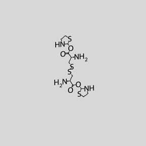 N[C@@H](CSSC[C@H](N)C(=O)OC1NCCS1)C(=O)OC1NCCS1